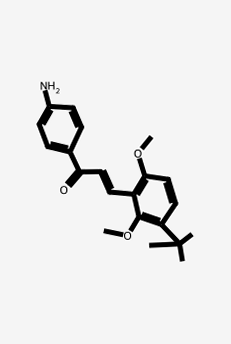 COc1ccc(C(C)(C)C)c(OC)c1C=CC(=O)c1ccc(N)cc1